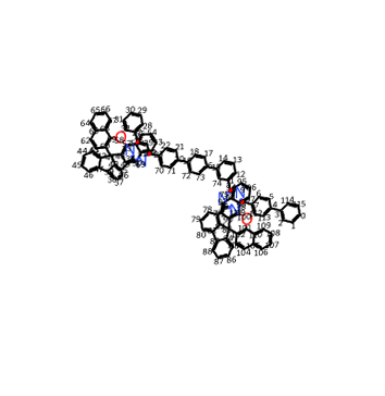 c1ccc(-c2ccc(-c3nc(-c4cccc(-c5ccc(-c6ccc(-c7cc(-c8ccccc8)nc(-c8cccc9c8C8(c%10ccccc%10-9)c9ccc%10ccccc%10c9Oc9c8ccc8ccccc98)n7)cc6)cc5)c4)nc(-c4cccc5c4C4(c6ccccc6-5)c5ccc6ccccc6c5Oc5c4ccc4ccccc54)n3)cc2)cc1